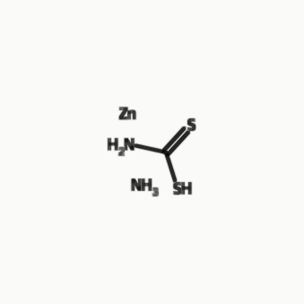 N.NC(=S)S.[Zn]